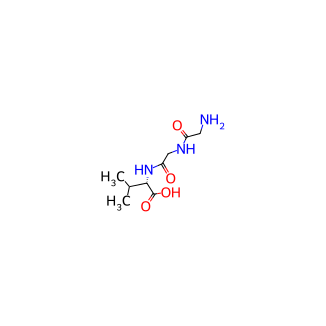 CC(C)[C@H](NC(=O)CNC(=O)CN)C(=O)O